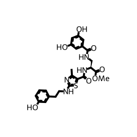 COC(=O)[C@H](CNC(=O)c1cc(O)cc(O)c1)NC(=O)c1sc(NCCc2cccc(O)c2)nc1C